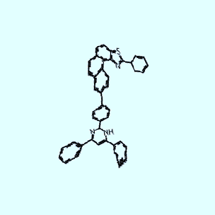 C1=CCC(c2nc3c(ccc4ccc5cc(-c6ccc(C7N=C(c8ccccc8)C=C(c8ccccc8)N7)cc6)ccc5c43)s2)C=C1